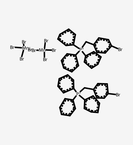 Brc1ccc(C[P+](c2ccccc2)(c2ccccc2)c2ccccc2)cc1.Brc1ccc(C[P+](c2ccccc2)(c2ccccc2)c2ccccc2)cc1.[Br][Mn-]([Br])([Br])[Br].[Br][Mn-]([Br])([Br])[Br]